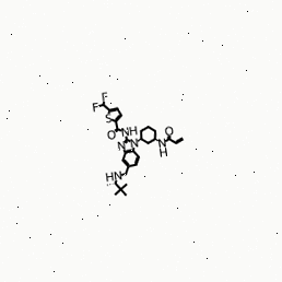 C=CC(=O)N[C@@H]1CCC[C@H](n2c(NC(=O)c3ccc(C(F)F)s3)nc3cc(CN[C@@H](C)C(C)(C)C)ccc32)C1